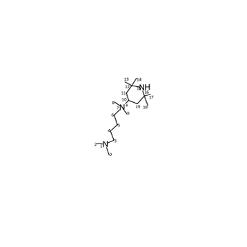 CN(C)CCCC[N+](C)(C)C1CC(C)(C)NC(C)(C)C1